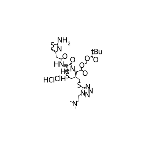 CN(C)CCn1nnnc1SCC1=C(C(=O)OCOC(=O)C(C)(C)C)N2C(=O)[C@@H](NC(=O)Cc3csc(N)n3)[C@H]2SC1.Cl.Cl